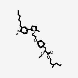 CCCCCCc1cc(-c2ccc(C)n2CCOc2ccc(C[C@H](OCC)C(=O)OCCC(C)CCC)cc2)ccc1SC